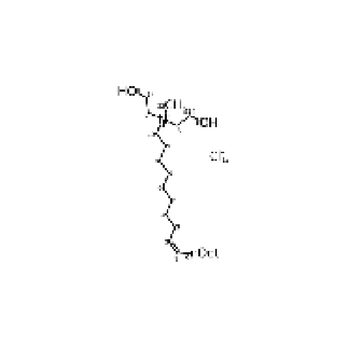 CCCCCCCC/C=C\CCCCCCCC[N+](C)(CCO)CCO.[Cl-]